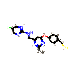 CSc1nc(CNc2ncc(Cl)cn2)cc(Oc2ccc(CS)cc2)n1